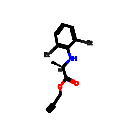 C#CCOC(=O)[C@H](C)Nc1c(CC)cccc1CC